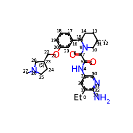 CCc1cc(NC(=O)C(=O)N2C[C@@H](C)CC[C@@H]2c2cccc(OC[C@H]3CCN(C)C3)c2)cnc1N